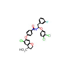 O=C(NC(Cc1cccc(F)c1)Oc1ccc(Cl)c(Cl)c1)c1ccc(Oc2cc3c(cc2Cl)C(C(=O)O)CCO3)cc1